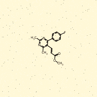 COC(=O)C=Cc1c(C)nc(C)nc1-c1ccc(F)cc1